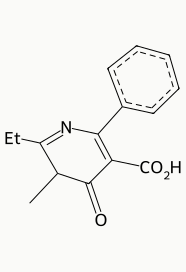 CCC1=NC(c2ccccc2)=C(C(=O)O)C(=O)C1C